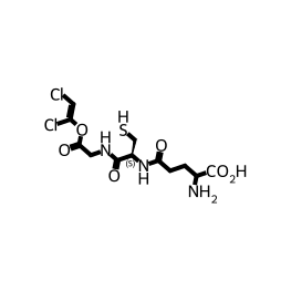 NC(CCC(=O)N[C@H](CS)C(=O)NCC(=O)OC(Cl)=CCl)C(=O)O